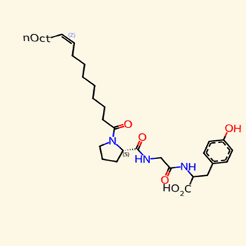 CCCCCCCC/C=C\CCCCCCCC(=O)N1CCC[C@H]1C(=O)NCC(=O)NC(Cc1ccc(O)cc1)C(=O)O